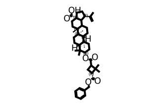 C=C(C)[C@@H]1CC[C@]2(C(=O)O)CC[C@]3(C)C(CC[C@@H]4[C@@]5(C)CC[C@H](OC(=O)C6C[C@@H](C(=O)OCc7ccccc7)C6(C)C)C(C)(C)[C@@H]5CC[C@]43C)C12